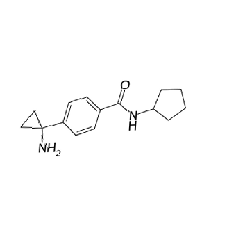 NC1(c2ccc(C(=O)NC3CCCC3)cc2)CC1